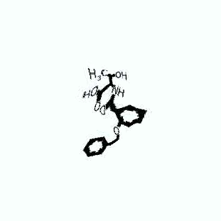 CC(O)C(NC(=O)c1ccccc1OCc1ccccc1)C(=O)O